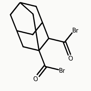 O=C(Br)C1C2CC3CC(C2)CC1(C(=O)Br)C3